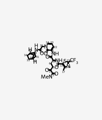 CNC(=O)C(=O)CC[C@H](NC(=O)c1sc(C(F)(F)F)nc1C)C(=O)Nc1cccn(CC(=O)N[C@@H]2C[C@@H]3CC[C@H]2C3)c1=O